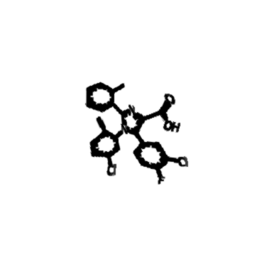 Cc1ccccc1-c1nc(C(=O)O)c(-c2ccc(F)c(Cl)c2)n1-c1cc(Cl)ccc1C